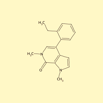 CCc1ccccc1-c1cn(C)c(=O)c2c1ccn2C